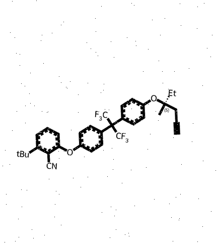 C#CC[C@](C)(CC)Oc1ccc(C(c2ccc(Oc3cccc(C(C)(C)C)c3C#N)cc2)(C(F)(F)F)C(F)(F)F)cc1